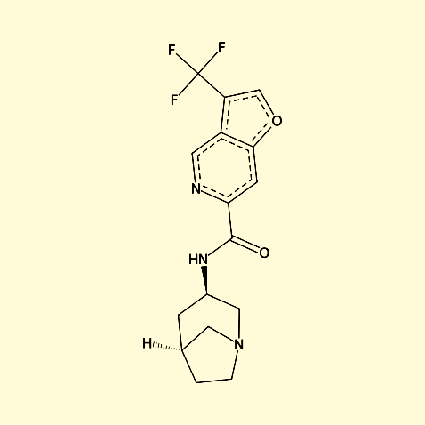 O=C(N[C@@H]1C[C@@H]2CCN(C2)C1)c1cc2occ(C(F)(F)F)c2cn1